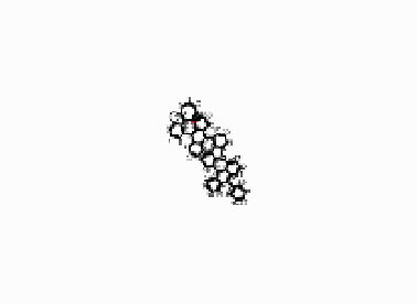 C1=CCc2oc3cccc(-c4c5ccccc5c(-c5cccc6sc7c(-c8c9ccccc9c(-c9ccccc9)c9ccccc89)cccc7c56)c5ccccc45)c3c2C=C1